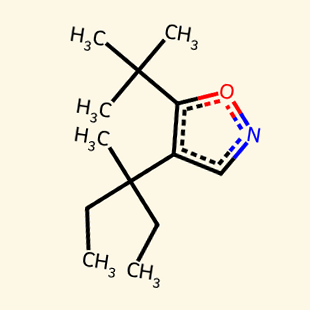 CCC(C)(CC)c1cnoc1C(C)(C)C